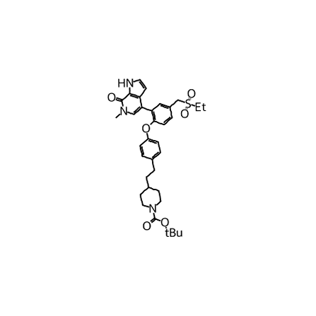 CCS(=O)(=O)Cc1ccc(Oc2ccc(CCC3CCN(C(=O)OC(C)(C)C)CC3)cc2)c(-c2cn(C)c(=O)c3[nH]ccc23)c1